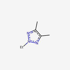 CCn1nc(C)c(C)n1